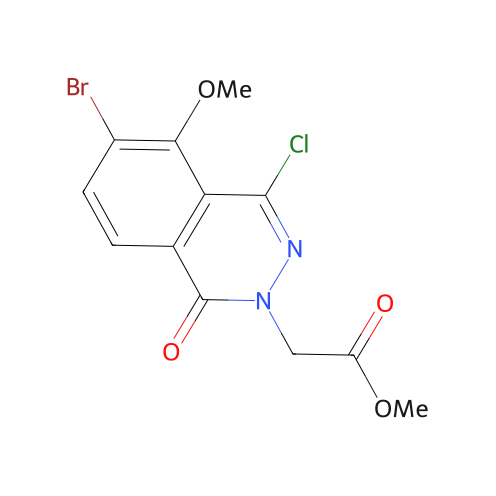 COC(=O)Cn1nc(Cl)c2c(OC)c(Br)ccc2c1=O